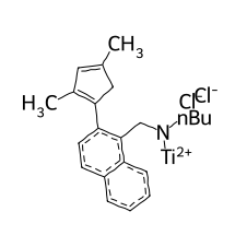 CCCC[N]([Ti+2])Cc1c(C2=C(C)C=C(C)C2)ccc2ccccc12.[Cl-].[Cl-]